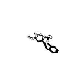 COC(=O)CC1c2cc3ccccc3n2C(=O)N1OC